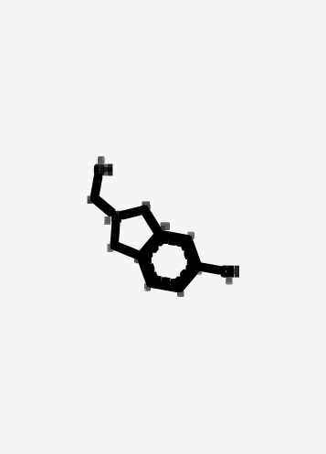 OCN1Cc2ccc(O)cc2C1